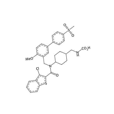 COc1ccc(-c2ccc(S(C)(=O)=O)cc2)cc1CN(C(=O)c1sc2ccccc2c1Cl)C1CCC(CNC(=O)O)CC1